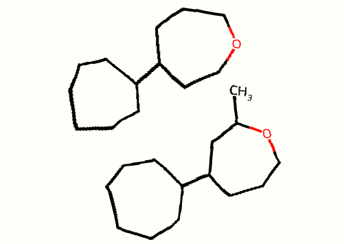 C1CCCC(C2CCCOCC2)CC1.CC1CC(C2CCCCCC2)CCCO1